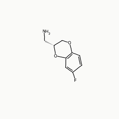 NC[C@@H]1COc2ccc(F)cc2O1